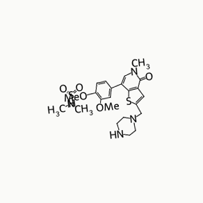 CN(C)[SH](=O)=O.COc1ccc(-c2cn(C)c(=O)c3cc(CN4CCNCC4)sc23)cc1OC